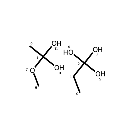 CCC(O)(O)O.COC(C)(O)O